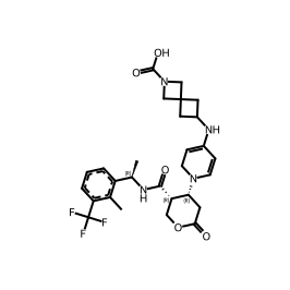 Cc1c([C@@H](C)NC(=O)[C@H]2COC(=O)C[C@H]2N2C=CC(NC3CC4(C3)CN(C(=O)O)C4)=CC2)cccc1C(F)(F)F